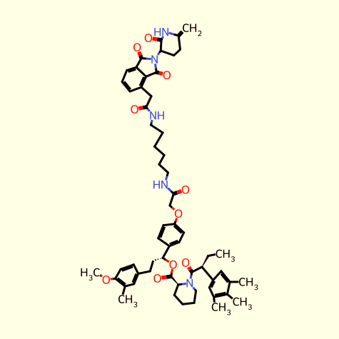 C=C1CCC(N2C(=O)c3cccc(CC(=O)NCCCCCCNC(=O)COc4ccc([C@@H](CCc5ccc(OC)c(C)c5)OC(=O)[C@@H]5CCCCN5C(=O)[C@@H](CC)c5cc(C)c(C)c(C)c5)cc4)c3C2=O)C(=O)N1